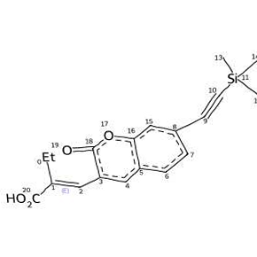 CC/C(=C\c1cc2ccc(C#C[Si](C)(C)C)cc2oc1=O)C(=O)O